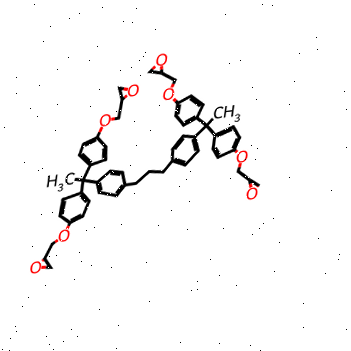 CC(c1ccc(CCCc2ccc(C(C)(c3ccc(OCC4CO4)cc3)c3ccc(OCC4CO4)cc3)cc2)cc1)(c1ccc(OCC2CO2)cc1)c1ccc(OCC2CO2)cc1